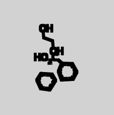 O=C(O)c1ccccc1.OCCO.c1ccccc1